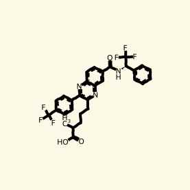 CC(CCCc1nc2cc(C(=O)N[C@@H](c3ccccc3)C(F)(F)F)ccc2nc1-c1ccc(C(F)(F)F)cc1)C(=O)O